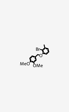 COc1ccc(COc2cccc(C)c2Br)cc1OC